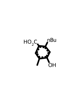 CCCCc1cc(O)c(C)cc1C(=O)O